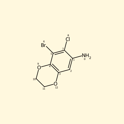 Nc1cc2c(c(Br)c1Cl)OCCO2